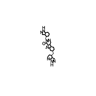 Cn1c2cc(Cc3ccnc4[nH]ncc34)ccc2c2cnn(Cc3cccc4[nH]ncc34)c(=O)c21